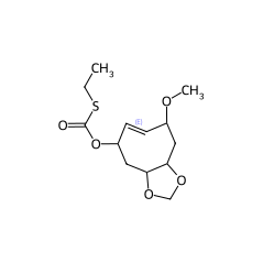 CCSC(=O)OC1/C=C/C(OC)CC2OCOC2C1